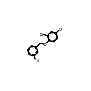 N#Cc1cccc(COc2ccc(Cl)cc2Cl)c1